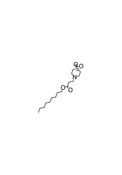 CCCCCCCCCOC(=O)CCN1CCS(=O)(=O)CC1